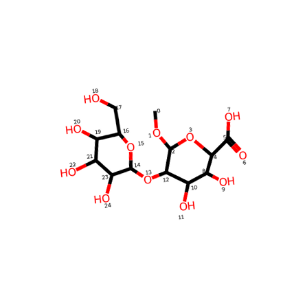 COC1OC(C(=O)O)C(O)C(O)C1OC1OC(CO)C(O)C(O)C1O